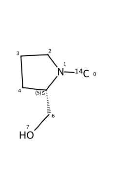 [14CH3]N1CCC[C@H]1CO